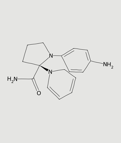 NC(=O)[C@]1(N2C=CC=CC2)CCCN1c1ccc(N)cc1